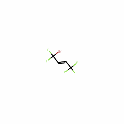 FC(F)(F)C=CC(F)(F)Br